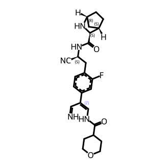 N#C[C@H](Cc1ccc(/C(C=N)=C/NC(=O)C2CCOCC2)cc1F)NC(=O)[C@H]1N[C@@H]2CC[C@H]1C2